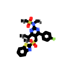 CC(C)c1nc(N(C)S(C)(=O)=O)nc(-c2ccc(F)cc2)c1CS(=O)(=O)c1nc2ccccc2s1